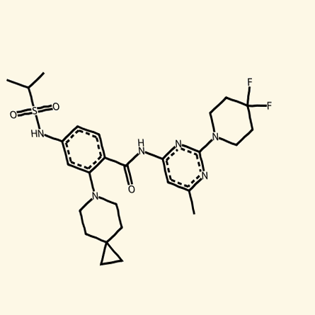 Cc1cc(NC(=O)c2ccc(NS(=O)(=O)C(C)C)cc2N2CCC3(CC2)CC3)nc(N2CCC(F)(F)CC2)n1